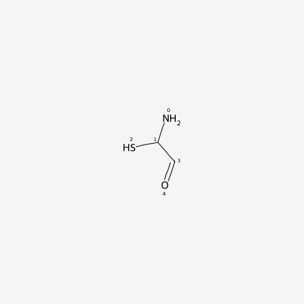 NC(S)C=O